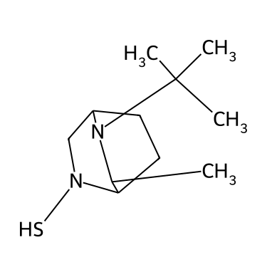 CC1C2CCC(CN2S)N1C(C)(C)C